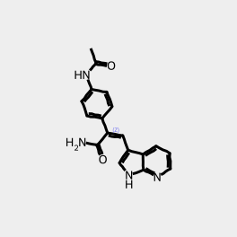 CC(=O)Nc1ccc(/C(=C/c2c[nH]c3ncccc23)C(N)=O)cc1